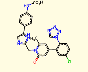 Cc1cc(-c2cc(Cl)ccc2-n2cnnn2)cc(=O)n1Cc1ncc(-c2ccc(NC(=O)O)cc2)[nH]1